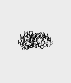 CC1(C(=O)O)OC(C)(O)C(C)(O)C(C)(O)C1OC1OC(C)(C(=O)O)C(C)(O)C(C)(O)C1(C)O